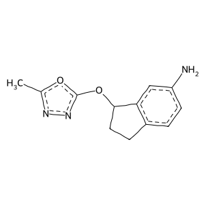 Cc1nnc(OC2CCc3ccc(N)cc32)o1